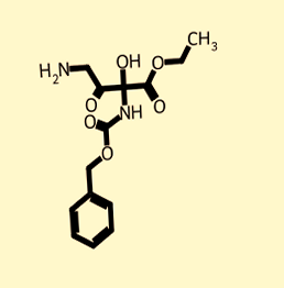 CCOC(=O)C(O)(NC(=O)OCc1ccccc1)C(=O)CN